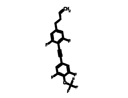 C=CCCc1cc(F)c(C#Cc2cc(F)c(OC(F)(F)F)c(F)c2)c(F)c1